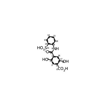 O=C(O)c1cc(O)c(C(=O)Nc2ccccc2S(=O)(=O)O)cc1O